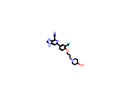 N#Cc1nc(-c2ccc(OCCCN3CCC(O)CC3)c(C(F)(F)F)c2)cc2[nH]cnc12